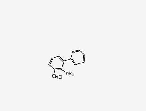 CCCCc1c(C=O)cccc1-c1ccccc1